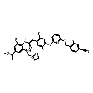 N#Cc1ccc(COc2cccc(Oc3cc(F)c(CC(=O)Nc4c(F)cc(C(=O)O)cc4NC[C@@H]4CCO4)cc3F)n2)c(F)c1